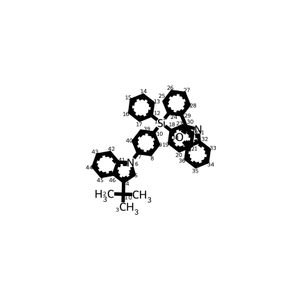 CC(C)(C)c1cn(-c2ccc([Si](c3ccccc3)(c3ccccc3)c3ccccc3-c3nc4ccccc4o3)cc2)c2ccccc12